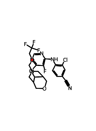 N#Cc1ccc(Nc2ncnc(OC3C4COCC3CN(COCC(F)(F)F)C4)c2F)c(Cl)c1